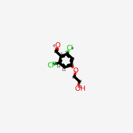 O=Cc1c(Cl)cc(OCCO)cc1Cl